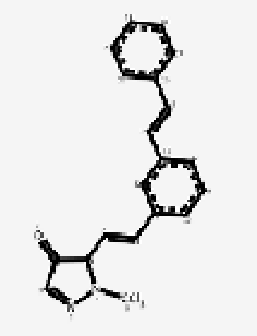 O=C1C=NN(C(Cl)(Cl)Cl)C1C=Cc1cccc(C=Cc2ccccc2)c1